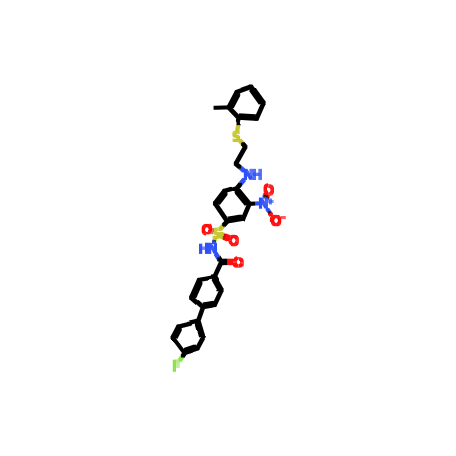 Cc1ccccc1SCCNc1ccc(S(=O)(=O)NC(=O)c2ccc(-c3ccc(F)cc3)cc2)cc1[N+](=O)[O-]